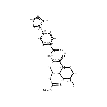 COC(=O)CCC[C@H](NC(=O)c1ccc(-n2ccnn2)cc1)C(=O)N1CCN(C)CC1